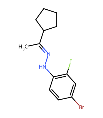 C/C(=N\Nc1ccc(Br)cc1F)C1CCCC1